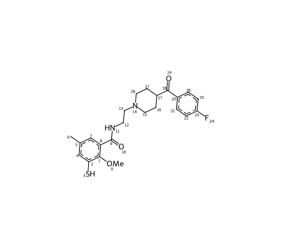 COc1c(S)cc(C)cc1C(=O)NCCN1CCC(C(=O)c2ccc(F)cc2)CC1